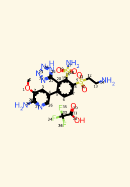 COc1cc(-c2ccc(S(=O)(=O)CCN)c(S(N)(=O)=O)c2-c2nnn[nH]2)cnc1N.O=C(O)C(F)(F)F